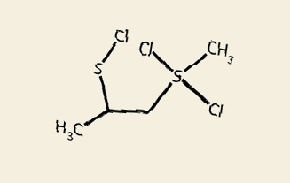 CC(CS(C)(Cl)Cl)SCl